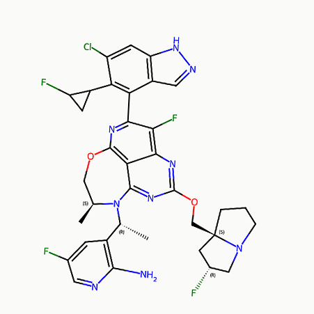 C[C@H](c1cc(F)cnc1N)N1c2nc(OC[C@@]34CCCN3C[C@H](F)C4)nc3c(F)c(-c4c(C5CC5F)c(Cl)cc5[nH]ncc45)nc(c23)OC[C@@H]1C